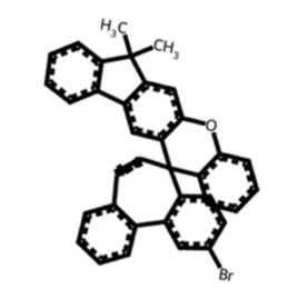 CC1(C)c2ccccc2-c2cc3c(cc21)Oc1ccccc1C31c2ccccc2-c2ccccc2-c2cc(Br)ccc21